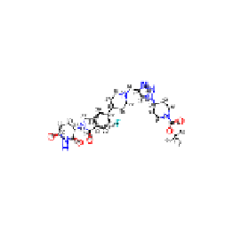 CC(C)(C)OC(=O)N1CCC(n2cc(CN3CCC(c4cc5c(cc4F)C(=O)N(C4CCC(=O)NC4=O)C5)CC3)nn2)CC1